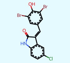 O=C1Nc2ccc(Cl)cc2/C1=C/c1cc(Br)c(O)c(Br)c1